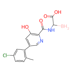 BC(NC(=O)c1ncc(-c2cc(Cl)ccc2C)cc1O)C(=O)O